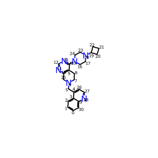 c1ccc2c(CN3CCc4c(ncnc4N4CCN(C5CCC5)CC4)C3)ccnc2c1